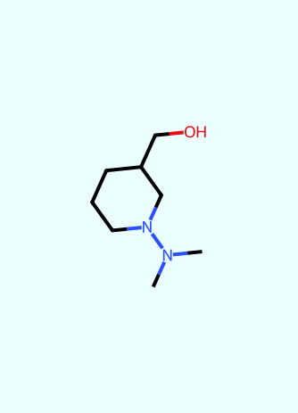 CN(C)N1CCCC(CO)C1